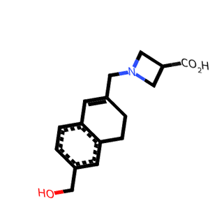 O=C(O)C1CN(CC2=Cc3ccc(CO)cc3CC2)C1